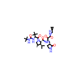 CC(C)[C@@H]1[C@@H](C(=O)N[C@@H](C[C@@H]2CCNC2=O)C(=O)C(=O)NCC2CC2)N(C(=O)[C@@H](NC(=O)NC(C)(C)C)C(C)(C)C)C[C@@H]1C